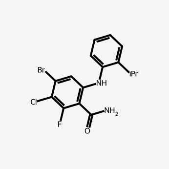 CC(C)c1ccccc1Nc1cc(Br)c(Cl)c(F)c1C(N)=O